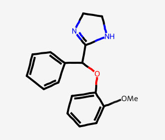 COc1ccccc1OC(C1=NCCN1)c1ccccc1